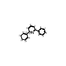 C1=CC(c2ccccc2)=NC(C2=CCCC=C2)C=1